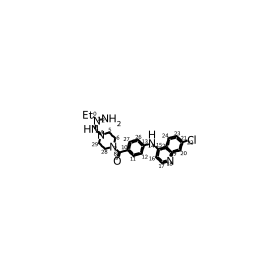 CCN(N)NN1CCN(C(=O)c2ccc(Nc3ccnc4cc(Cl)ccc34)cc2)CC1